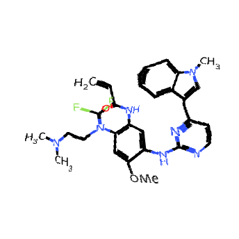 C=CC(=O)Nc1cc(Nc2nccc(-c3cn(C)c4ccccc34)n2)c(OC)cc1N(CCN(C)C)C(F)F